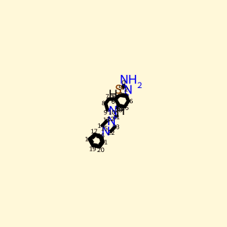 Nc1nc2c(s1)[C@@H]1CCCN(CN3CCN(c4ccccc4)CC3)[C@H]1CC2